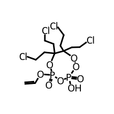 C=COP1(=O)OC(CCCl)(CCCl)C(CCCl)(CCCl)OOP(=O)(O)O1